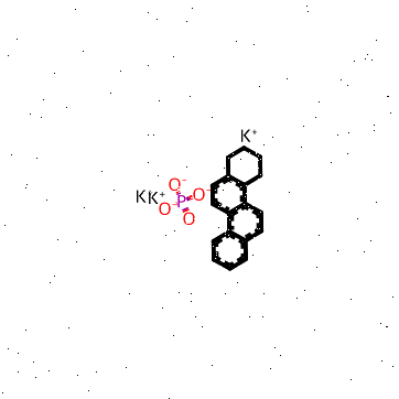 O=P([O-])([O-])[O-].[K+].[K+].[K+].c1ccc2c(c1)ccc1c3c(ccc12)CCCC3